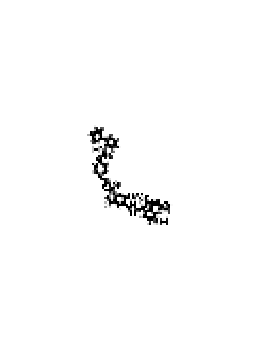 COc1cc2c(cc1CNC[C@H](O)c1ccc(O)c3[nH]c(=O)ccc13)CCN2C(=O)OCCN1CCC(OC(=O)Nc2ccccc2-c2ccccc2)CC1